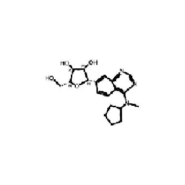 CN(c1ncnc2cc([C@@H]3O[C@H](CO)[C@@H](O)[C@H]3O)ccc12)C1CCCC1